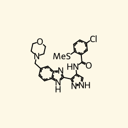 CSc1ccc(Cl)cc1C(=O)Nc1c[nH]nc1-c1nc2cc(CN3CCOCC3)ccc2[nH]1